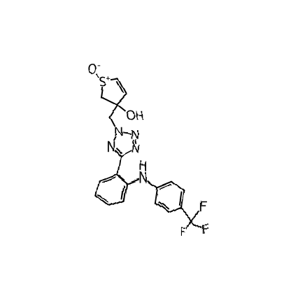 [O-][S+]1C=CC(O)(Cn2nnc(-c3ccccc3Nc3ccc(C(F)(F)F)cc3)n2)C1